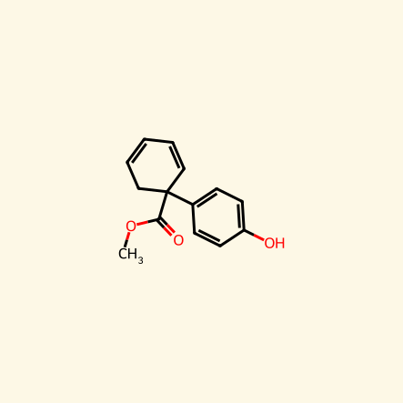 COC(=O)C1(c2ccc(O)cc2)C=CC=CC1